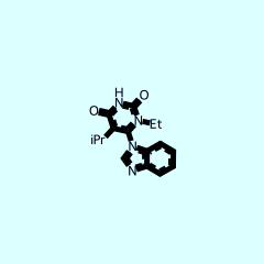 CCn1c(-n2cnc3ccccc32)c(C(C)C)c(=O)[nH]c1=O